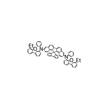 CCc1cccc2c1oc1c(N(c3ccccc3)c3ccc4c5c(ccc4c3)-c3ccc4cc(N(c6ccccc6)c6cccc7c6oc6c(CC)cccc67)ccc4c3C53c4ccccc4-c4ccccc43)cccc12